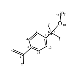 C=C(C)c1ccc([Si](C)(C)OC(C)C)cc1